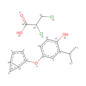 CC(C)c1cc(Oc2ccc3cc2-3)ccc1O.O=C(O)C(Cl)CCl